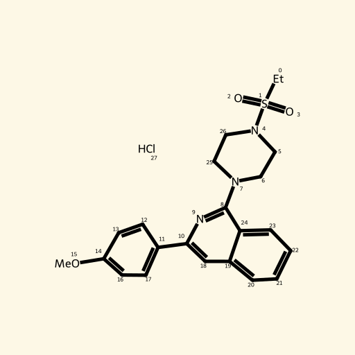 CCS(=O)(=O)N1CCN(c2nc(-c3ccc(OC)cc3)cc3ccccc23)CC1.Cl